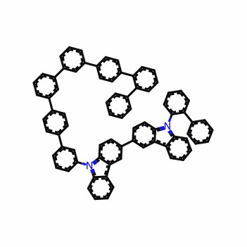 c1ccc(-c2ccccc2-c2ccc(-c3cccc(-c4cccc(-c5ccc(-c6cccc(-n7c8ccccc8c8cc(-c9ccc%10c(c9)c9ccccc9n%10-c9ccccc9-c9ccccc9)ccc87)c6)cc5)c4)c3)cc2)cc1